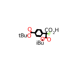 CCC(C)OC(=O)C(F)(C(=O)O)c1ccc(C(=O)OC(C)(C)C)cc1